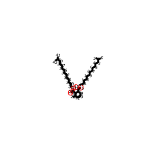 CC(C)CCCCCCCCCCCCOC(=O)C1CC=CC(C)C1C(=O)OCCCCCCCCCCCCC(C)C